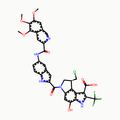 COc1cc2cnc(C(=O)Nc3ccc4[nH]c(C(=O)N5C[C@@H](CCl)c6c5cc(O)c5[nH]c(C(F)(F)F)c(C(=O)O)c65)cc4c3)cc2c(OC)c1OC